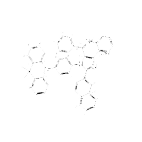 CC1(C)c2ccccc2N(c2ccc(-n3c(-c4ccc5ccccc5c4)nc4c5ncccc5nc(-c5ccccc5)c43)cc2)c2ccccc21